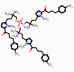 Cn1c(CCC(C)(N)COP(=O)(OCC(C)(N)CCc2ccc(C(=O)CCCc3ccc(C(F)(F)F)cc3)n2C)OCC(C)(N)CCc2ccc(C(=O)CCCc3ccc(C(F)(F)F)cc3)n2C)ccc1C(=O)CCCc1ccc(C(F)(F)F)cc1